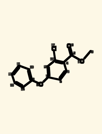 COC(=O)c1ccc(Oc2ccccc2)cc1Cl